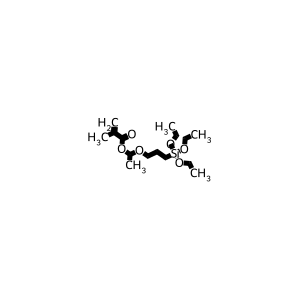 C=C(C)C(=O)OC(C)OCCC[Si](OCC)(OCC)OCC